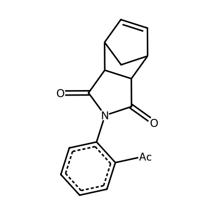 CC(=O)c1ccccc1N1C(=O)C2C3C=CC(C3)C2C1=O